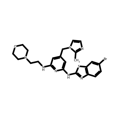 Cc1nccn1Cc1cc(NCCN2CCOCC2)nc(Nc2nc3ccc(Br)cc3s2)c1